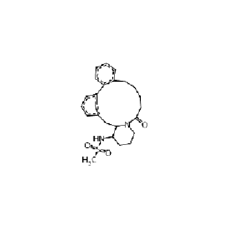 CS(=O)(=O)NC1CCCN2C(=O)CCCCc3ccccc3-c3cccc(c3)CC12